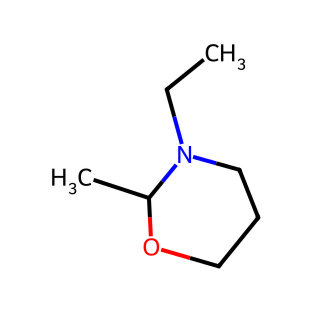 CCN1CCCOC1C